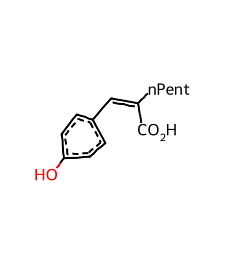 CCCCCC(=Cc1ccc(O)cc1)C(=O)O